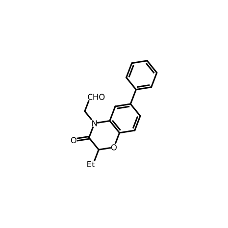 CCC1Oc2ccc(-c3ccccc3)cc2N(CC=O)C1=O